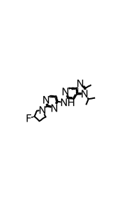 Cc1nc2cnc(Nc3ccnc(N4CC[C@@H](F)C4)n3)cc2n1C(C)C